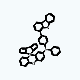 c1ccc(N(c2ccc(-c3cccc4c3sc3ccccc34)cc2)c2ccc3c(c2)[Si]2(c4ccccc4O3)c3ccccc3-c3ccccc32)cc1